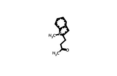 CC(=O)CCc1cc2ccccc2n1C